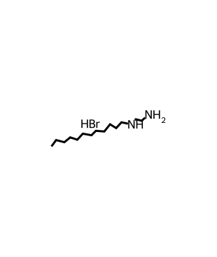 Br.CCCCCCCCCCCCNCCN